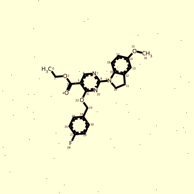 CCOC(=O)c1cnc(N2CCc3cc(OC)ccc32)nc1OCc1ccc(F)cc1